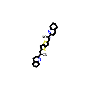 N#C/C(=C\c1cc2sc(CC(C#N)c3ccc4ccccc4n3)cc2s1)c1ccc2ccccc2n1